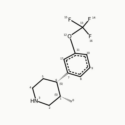 C[C@@H]1CNCC[C@@H]1c1cccc(OC(F)(F)F)c1